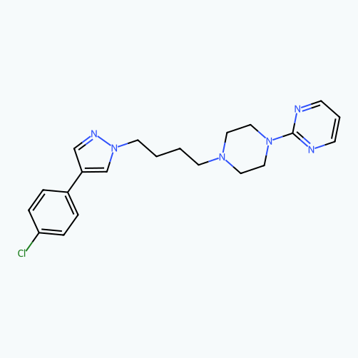 Clc1ccc(-c2cnn(CCCCN3CCN(c4ncccn4)CC3)c2)cc1